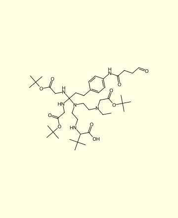 CCN(CCN(CCNC(C(=O)O)C(C)(C)C)C(CCc1ccc(NC(=O)CCC=O)cc1)(NCC(=O)OC(C)(C)C)NCC(=O)OC(C)(C)C)CC(=O)OC(C)(C)C